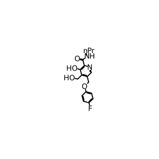 CCCNC(=O)c1ncc(COc2ccc(F)cc2)c(CO)c1O